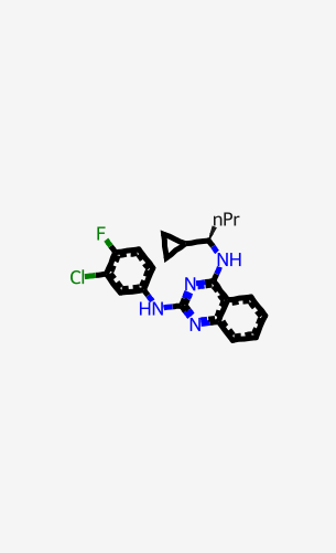 CCC[C@@H](Nc1nc(Nc2ccc(F)c(Cl)c2)nc2ccccc12)C1CC1